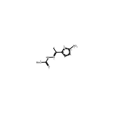 COC(=O)NN=C(C)c1ccc([N+](=O)[O-])o1